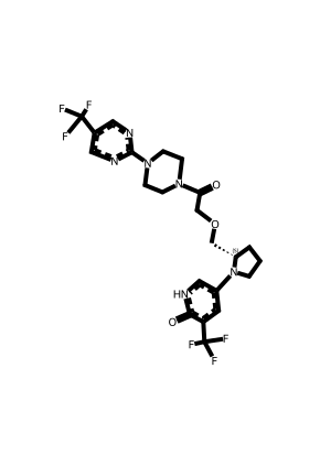 O=C(COC[C@@H]1CCCN1c1c[nH]c(=O)c(C(F)(F)F)c1)N1CCN(c2ncc(C(F)(F)F)cn2)CC1